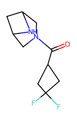 O=C(C1CC(F)(F)C1)N1CC2CC(C1)N2